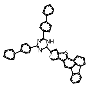 c1ccc(-c2ccc(C3=NC(c4ccc5c(c4)sc4c6cccc7c6c(cc54)-c4ccccc4-7)NC(c4ccc(-c5ccccc5)cc4)=N3)cc2)cc1